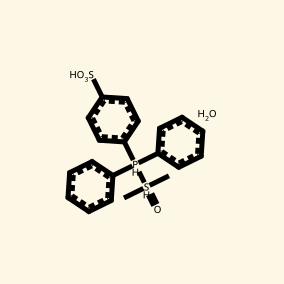 C[SH](C)(=O)[PH](c1ccccc1)(c1ccccc1)c1ccc(S(=O)(=O)O)cc1.O